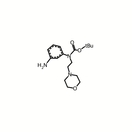 CC(C)(C)OC(=O)N(CCN1CCOCC1)c1cccc(N)c1